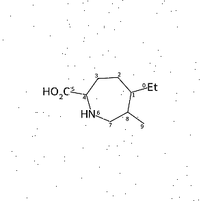 CCC1CCC(C(=O)O)NCC1C